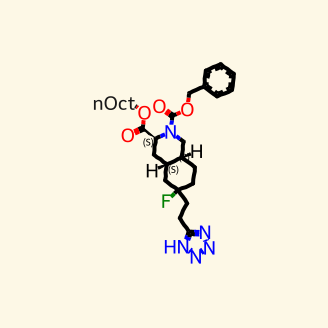 CCCCCCCCOC(=O)[C@@H]1C[C@H]2CC(F)(CCc3nnn[nH]3)CC[C@H]2CN1C(=O)OCc1ccccc1